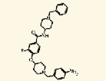 Nc1ccc(CN2CCC(Oc3ccc(C(=O)NC4CCN(Cc5ccccc5)CC4)cc3F)CC2)cc1